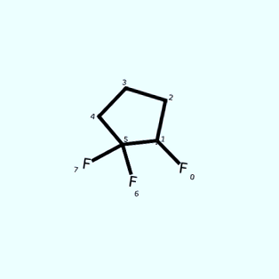 F[C]1CCCC1(F)F